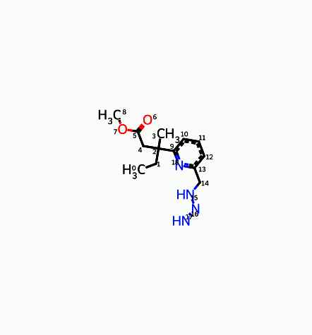 CCC(C)(CC(=O)OC)c1cccc(CNN=N)n1